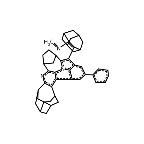 C=NC1=C(c2c3n4c5c(nc6c(c5c5cc(-c7ccccc7)cc2c54)C2CC4CC5CC6CC54C2)C2CCC3C2)C2CC3CC(CC1C3)C2